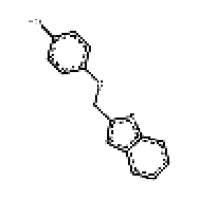 Oc1ccc(OCc2cc3ccccc3s2)cc1